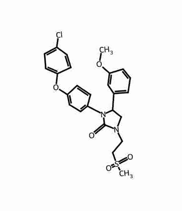 COc1cccc(C2CN(CCS(C)(=O)=O)C(=O)N2c2ccc(Oc3ccc(Cl)cc3)cc2)c1